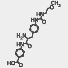 COCCNC(=O)Nc1ccc(CC(N)C(=O)Nc2ccc(C(=O)O)cc2)cc1